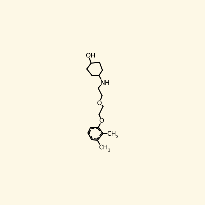 Cc1cccc(OCCOCCNC2CCC(O)CC2)c1C